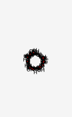 CCCC[C@H]1C(=O)N2CCC[C@@H]2C(=O)N[C@@H](CC(=O)O)C(=O)N[C@@H](C(C)C)C(=O)N(C)[C@@H](C(C)C)C(=O)N[C@@H](Cc2ccc(O)cc2)C(=O)N2CCC[C@@H]2C(=O)N[C@@H](Cc2c[nH]c3ccccc23)C(=O)N[C@@H](Cc2ccc(O)cc2)C(=O)N[C@@H](CCCN)C(=O)N[C@H](C=O)CSCC(=O)N[C@@H](Cc2ccc(F)cc2)C(=O)N(C)[C@@H](Cc2ccccc2)C(=O)N1C